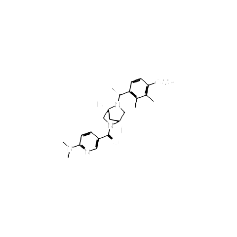 COc1ccc([C@H](C)N2C[C@@H]3C[C@H]2CN3C(=O)c2ccc(N(C)C)nc2)c(C)c1C